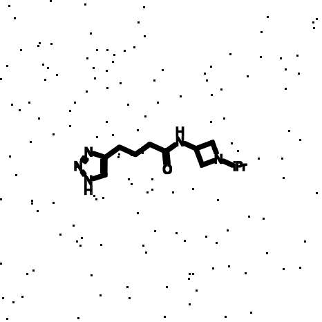 CC(C)N1CC(NC(=O)CCCc2c[nH]nn2)C1